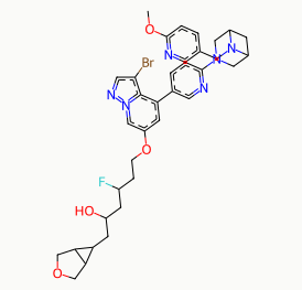 COc1ccc(CN2C3CC2CN(c2ccc(-c4cc(OCCC(F)CC(O)CC5C6COCC65)cn5ncc(Br)c45)cn2)C3)cn1